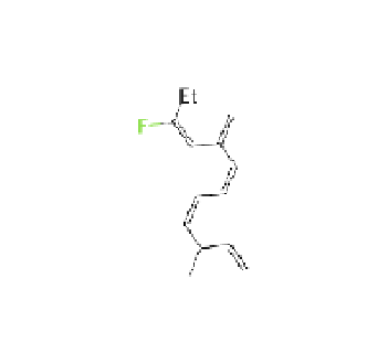 C=CC(C)/C=C\C=C/C(=C)/C=C(/F)CC